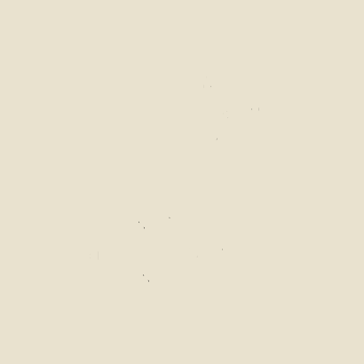 COC(=O)c1ccc(-c2nc(Cl)ncc2C)cc1